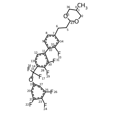 CC1COC(CCc2ccc(-c3ccc(C(F)(F)Oc4cc(F)c(F)c(F)c4)c(F)c3F)c(F)c2)OC1